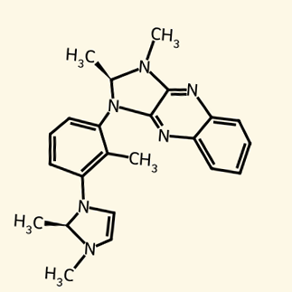 Cc1c(N2C=CN(C)[C@H]2C)cccc1N1c2nc3ccccc3nc2N(C)[C@@H]1C